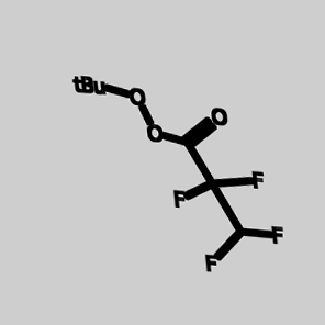 CC(C)(C)OOC(=O)C(F)(F)C(F)F